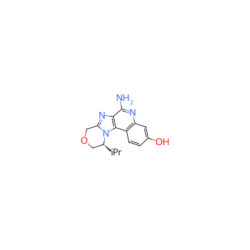 CC(C)[C@H]1COCc2nc3c(N)nc4cc(O)ccc4c3n21